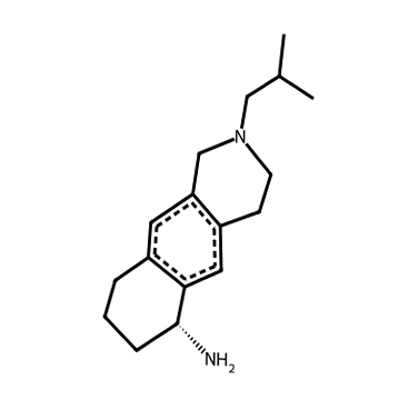 CC(C)CN1CCc2cc3c(cc2C1)CCC[C@H]3N